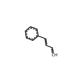 [CH]=CC=Cc1ccccc1